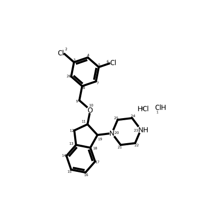 Cl.Cl.Clc1cc(Cl)cc(COC2Cc3ccccc3C2N2CCNCC2)c1